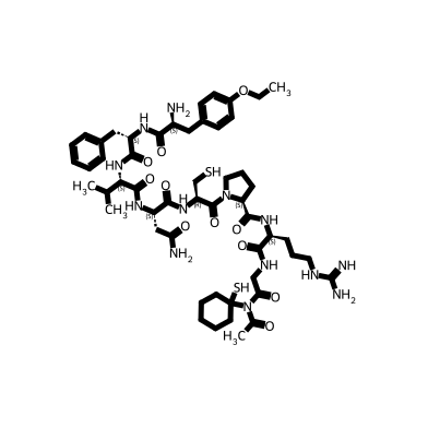 CCOc1ccc(C[C@H](N)C(=O)N[C@@H](Cc2ccccc2)C(=O)N[C@H](C(=O)N[C@@H](CC(N)=O)C(=O)N[C@@H](CS)C(=O)N2CCC[C@H]2C(=O)N[C@@H](CCCNC(=N)N)C(=O)NCC(=O)N(C(C)=O)C2(S)CCCCC2)C(C)C)cc1